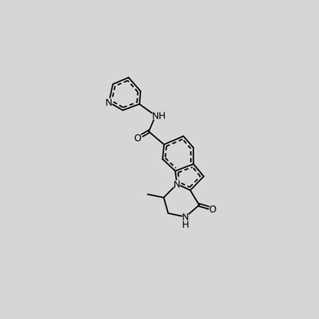 CC1CNC(=O)c2cc3ccc(C(=O)Nc4cccnc4)cc3n21